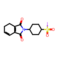 O=C1C2=C(CCC=C2)C(=O)N1C1CCC(S(=O)(=O)I)CC1